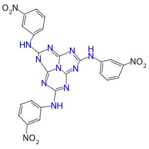 O=[N+]([O-])c1cccc(NC2=NC3=NC(Nc4cccc([N+](=O)[O-])c4)=NC4=NC(Nc5cccc([N+](=O)[O-])c5)=NC(=N2)N34)c1